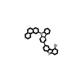 Brc1cccc2sc3ccc(C4=CC5c6ccccc6N(c6ccc7ccc8ccccc8c7c6)C5C=C4)cc3c12